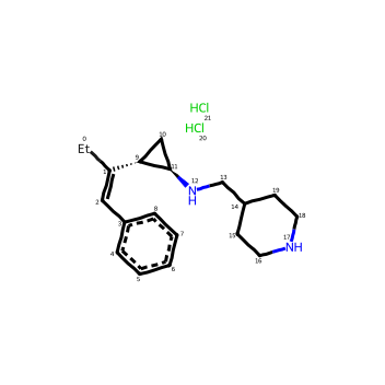 CCC(=Cc1ccccc1)[C@@H]1C[C@H]1NCC1CCNCC1.Cl.Cl